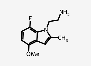 COc1ccc(F)c2c1cc(C)n2CCN